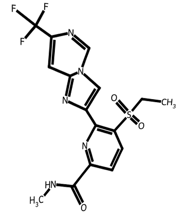 CCS(=O)(=O)c1ccc(C(=O)NC)nc1-c1cn2cnc(C(F)(F)F)cc2n1